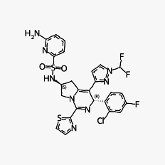 Nc1cccc(S(=O)(=O)N[C@H]2CC3=C(c4ccn(C(F)F)n4)[C@H](c4ccc(F)cc4Cl)N=C(c4nccs4)N3C2)n1